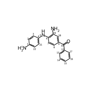 Nc1ccc(Nc2ccc(C(=O)c3ccccc3)cc2N)cc1